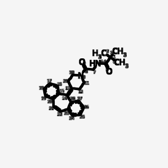 CC(C)(C)C(=O)NCC(=O)N1CCC(=C2c3ccccc3C=Cc3ccccc32)CC1